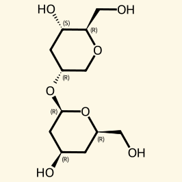 OC[C@H]1C[C@@H](O)C[C@@H](O[C@H]2CO[C@H](CO)[C@@H](O)C2)O1